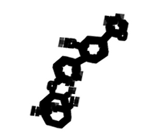 Oc1cc(-c2nnco2)ccc1-c1ccc(O[C@@H]2C[C@H]3CCC[C@H](N3)[C@@H]2F)nn1